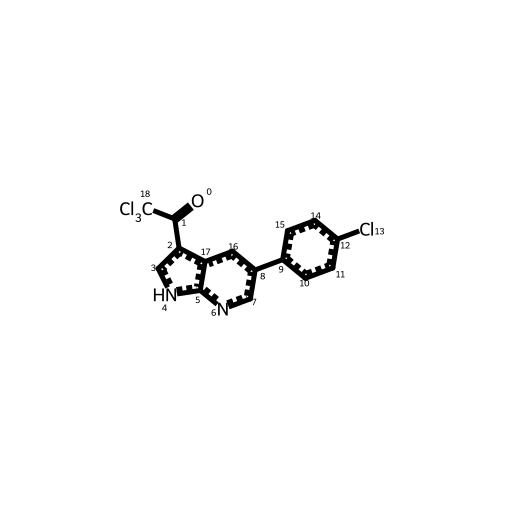 O=C(c1c[nH]c2ncc(-c3ccc(Cl)cc3)cc12)C(Cl)(Cl)Cl